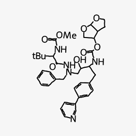 COC(=O)NC(C(=O)NN(Cc1ccccc1)CC(O)C(Cc1ccc(-c2cccnc2)cc1)NC(=O)OC1COC2OCCC12)C(C)(C)C